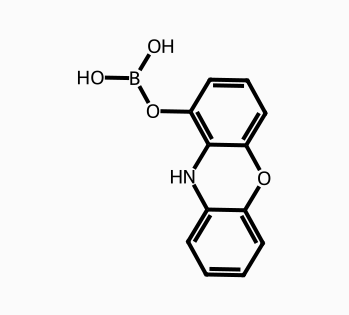 OB(O)Oc1cccc2c1Nc1ccccc1O2